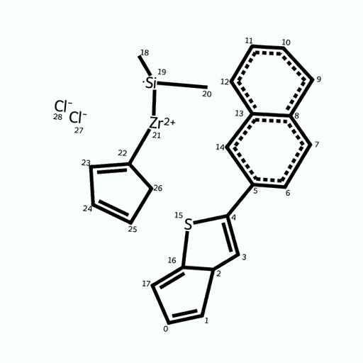 C1=CC2C=C(c3ccc4ccccc4c3)SC2=C1.C[Si](C)[Zr+2][C]1=CC=CC1.[Cl-].[Cl-]